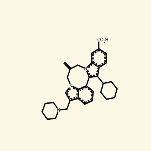 C=C1Cn2cc(CN3CCCCC3)c3cccc(c32)-c2c(C3CCCCC3)c3ccc(C(=O)O)cc3n2C1